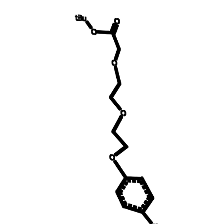 CC(C)(C)OC(=O)COCCOCCOc1[c]cc(Cl)cc1